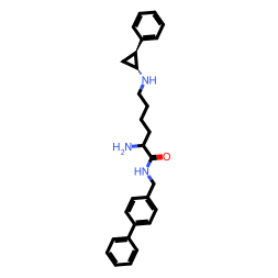 NC(CCCCN[C@@H]1C[C@H]1c1ccccc1)C(=O)NCc1ccc(-c2ccccc2)cc1